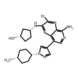 CCc1nc2c(N)ncc(-c3cnn([C@H]4CC[C@@H](C)CC4)c3)c2nc1N[C@@H]1CC[C@H](O)C1